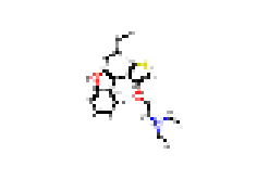 CCCCc1oc2ccccc2c1-c1[c]scc1OCCN(CC)CC